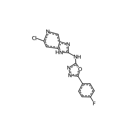 Fc1ccc(-c2nnc(Nc3nc4cnc(Cl)cc4[nH]3)o2)cc1